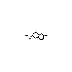 CCOC1CCC2CC(C)=CCC2C1